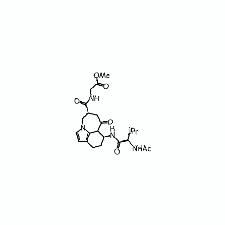 COC(=O)CNC(=O)[C@H]1CC(=O)C2c3c(ccn3C1)CC[C@@H]2NC(=O)C(NC(C)=O)C(C)C